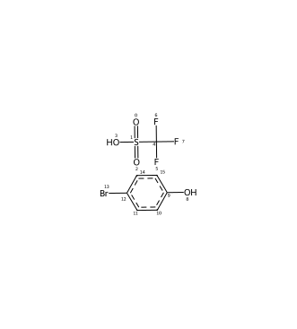 O=S(=O)(O)C(F)(F)F.Oc1ccc(Br)cc1